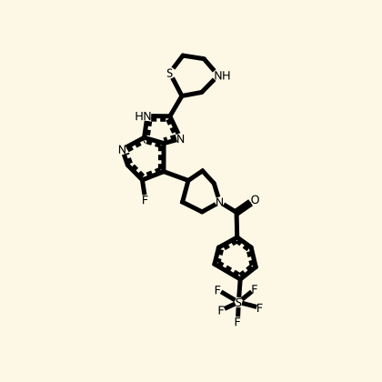 O=C(c1ccc(S(F)(F)(F)(F)F)cc1)N1CCC(c2c(F)cnc3[nH]c(C4CNCCS4)nc23)CC1